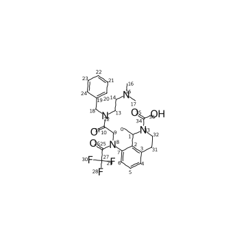 CC1c2c(cccc2N(CC(=O)N(CCN(C)C)Cc2ccccc2)C(=O)C(F)(F)F)CCN1C(=O)O